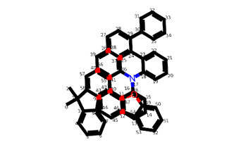 CC1(C)c2ccccc2-c2c(-c3ccccc3N(c3ccccc3-c3ccccc3-c3ccccc3)c3ccccc3-c3cccc4c3oc3ccccc34)cccc21